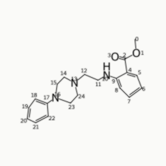 COC(=O)c1ccccc1NCCN1CCN(c2ccccc2)CC1